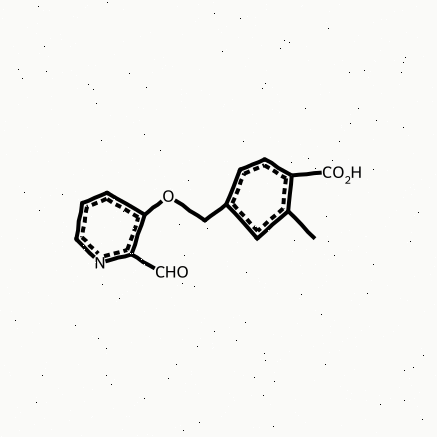 Cc1cc(COc2cccnc2C=O)ccc1C(=O)O